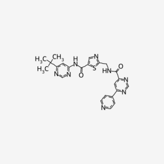 CC(C)(C)c1cc(NC(=O)c2cnc(CNC(=O)c3cc(-c4ccncc4)ncn3)s2)ncn1